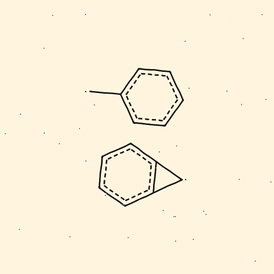 [CH2]c1ccccc1.[CH]1c2ccccc21